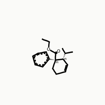 CCOC(=O)[C@]1(c2ccccc2)CCC=C[C@H]1C(C)C